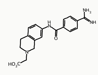 N=C(N)c1ccc(C(=O)Nc2ccc3c(c2)CN(CC(=O)O)CC3)cc1